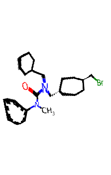 CN(C(=O)N(CC1CCCCC1)C[C@H]1CC[C@H](CBr)CC1)c1ccccc1